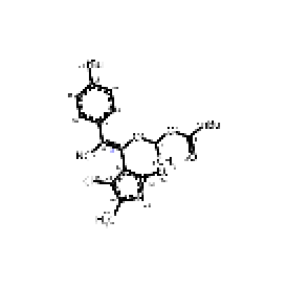 CCCCC(=O)OC(C)O/C(=C(/C#N)c1ccc(C(C)(C)C)cc1)c1c(Cl)c(C)nn1CC